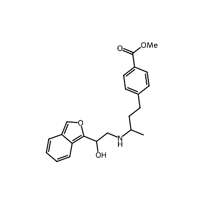 COC(=O)c1ccc(CCC(C)NCC(O)c2occ3ccccc23)cc1